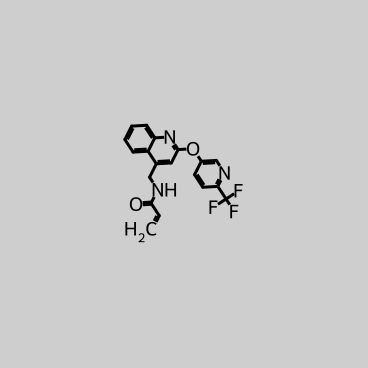 C=CC(=O)NCc1cc(Oc2ccc(C(F)(F)F)nc2)nc2ccccc12